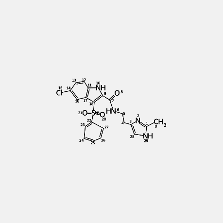 Cc1nc(CCNC(=O)c2[nH]c3ccc(Cl)cc3c2S(=O)(=O)c2ccccc2)c[nH]1